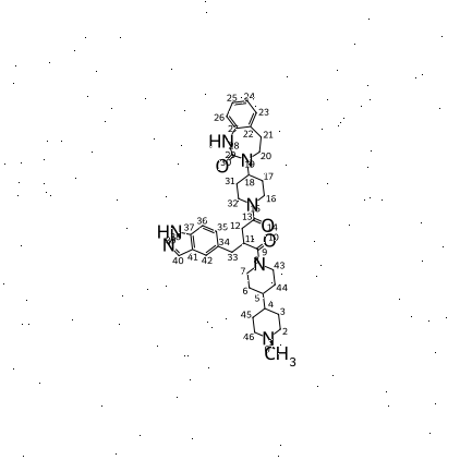 CN1CCC(C2CCN(C(=O)C(CC(=O)N3CCC(N4CCc5ccccc5NC4=O)CC3)Cc3ccc4[nH]ncc4c3)CC2)CC1